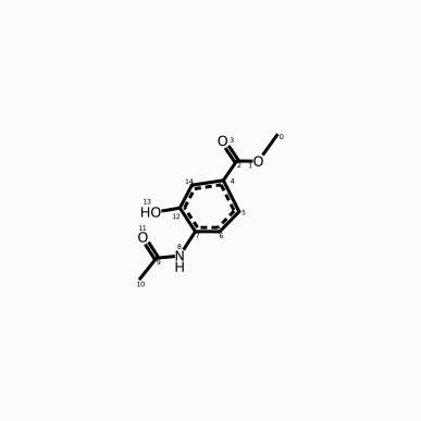 COC(=O)c1ccc(NC(C)=O)c(O)c1